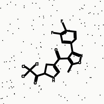 Cc1onc(-c2ccc(F)c(F)c2)c1C(=O)C1=CNC(C(=O)C(Cl)(Cl)Cl)C1